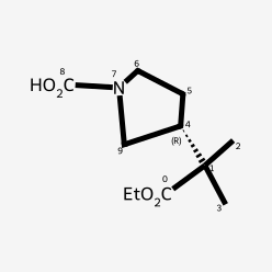 CCOC(=O)C(C)(C)[C@H]1CCN(C(=O)O)C1